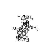 C=CC(=O)Nc1cc(Nc2cc(N3OCCC3c3cc(F)cc(Cl)c3)ncn2)c(OC)cc1N1CCC(N(C)C)CC1